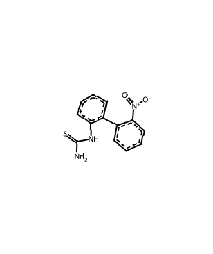 NC(=S)Nc1ccccc1-c1ccccc1[N+](=O)[O-]